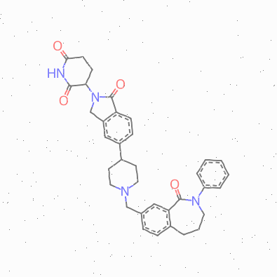 O=C1CCC(N2Cc3cc(C4CCN(Cc5ccc6c(c5)C(=O)N(c5ccccc5)CCC6)CC4)ccc3C2=O)C(=O)N1